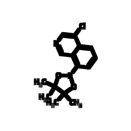 CC1(C)OB(c2cccc3c(Cl)cncc23)OC1(C)C